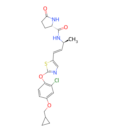 C[C@@H](/C=C/c1cnc(Oc2ccc(OCC3CC3)cc2Cl)s1)NC(=O)[C@@H]1CCC(=O)N1